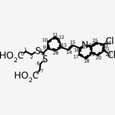 O=C(O)CCSC(SCCC(=O)O)c1cccc(/C=C/c2ccc3cc(Cl)c(Cl)cc3n2)c1